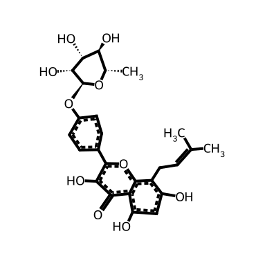 CC(C)=CCc1c(O)cc(O)c2c(=O)c(O)c(-c3ccc(O[C@@H]4O[C@@H](C)[C@H](O)[C@@H](O)[C@H]4O)cc3)oc12